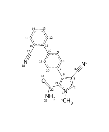 Cn1cc(C#N)c(-c2ccc(-c3ccccc3C#N)cc2)c1C(N)=O